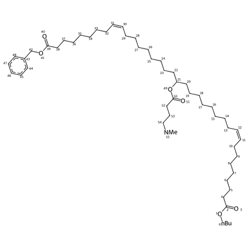 CCCCOC(=O)CCCCCCC/C=C\CCCCCCCCC(CCCCCCCC/C=C\CCCCCCCC(=O)OCc1ccccc1)OC(=O)CCCNC